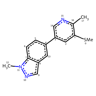 CSc1cc(-c2ccc3c(cnn3C)c2)cnc1C